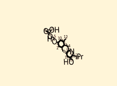 Cc1cc(OCO[PH](=O)O)cc(C)c1Cc1ccc(O)c(C(C)C)n1